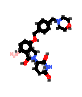 Bc1ccc(OCc2ccc(CN3CCOCC3)cc2)c2c1C(=O)N(C1CCC(=O)NC1=O)C2